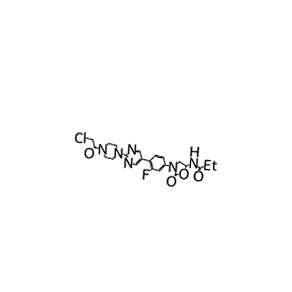 CCC(=O)NC1CN(c2ccc(-c3cnc(N4CCN(C(=O)CCl)CC4)nc3)c(F)c2)C(=O)O1